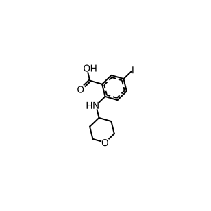 O=C(O)c1cc(I)ccc1NC1CCOCC1